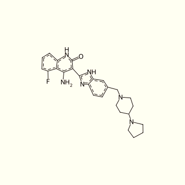 Nc1c(-c2nc3ccc(CN4CCC(N5CCCC5)CC4)cc3[nH]2)c(=O)[nH]c2cccc(F)c12